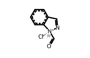 O=C[N@+]1(Cl)N=Cc2ccccc21